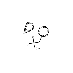 CCC(N)(Cc1ccccc1)C(=O)O.c1cc2cc-2c1